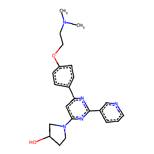 CN(C)CCOc1ccc(-c2cc(N3CCC(O)C3)nc(-c3cccnc3)n2)cc1